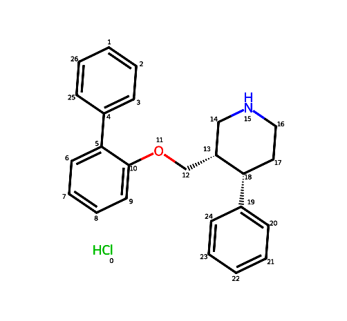 Cl.c1ccc(-c2ccccc2OC[C@@H]2CNCC[C@@H]2c2ccccc2)cc1